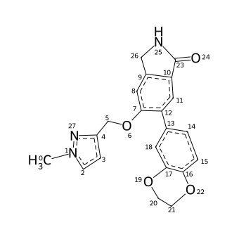 Cn1ccc(COc2cc3c(cc2-c2ccc4c(c2)OCCO4)C(=O)NC3)n1